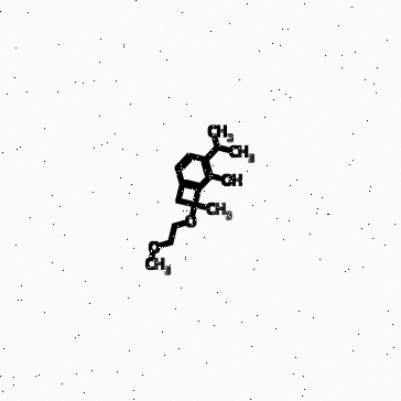 COCCOC1(C)Cc2ccc(C(C)C)c(O)c21